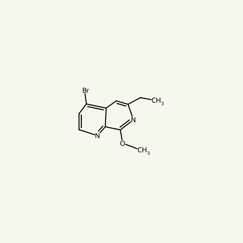 CCc1cc2c(Br)ccnc2c(OC)n1